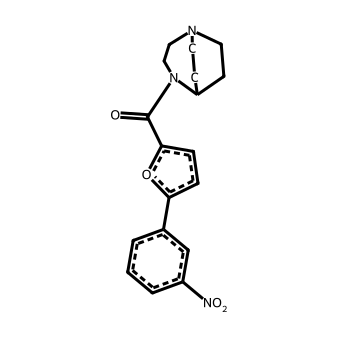 O=C(c1ccc(-c2cccc([N+](=O)[O-])c2)o1)N1CCN2CCC1CC2